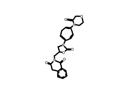 O=C1Cc2ccccc2C(=O)N1CC1CN(C2=CCC=C(N3CCOCC3=O)C=C2)C(=O)O1